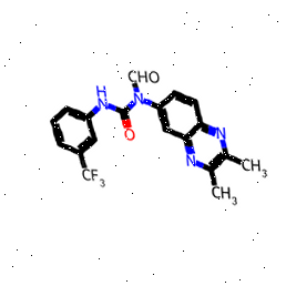 Cc1nc2ccc(N(C=O)C(=O)Nc3cccc(C(F)(F)F)c3)cc2nc1C